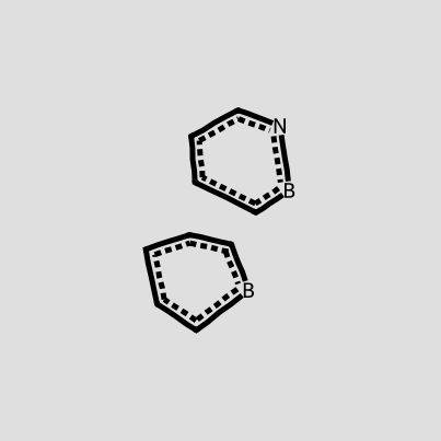 b1ccccc1.b1ccccn1